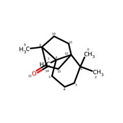 CC1(C)CCCC2(C)C3(C)CCC12CC3=O